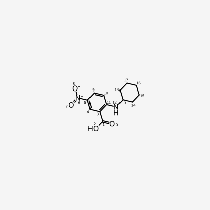 O=C(O)c1cc([N+](=O)[O-])ccc1NC1CCCCC1